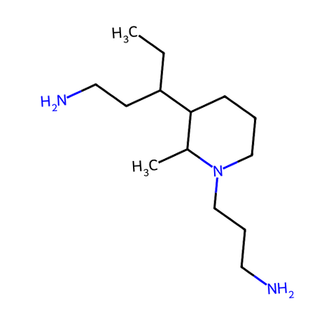 CCC(CCN)C1CCCN(CCCN)C1C